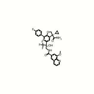 COc1cc(C(=O)NC[C@](O)(c2cc3c(c(-c4ccc(F)cc4)n2)OC[C@]3(C(N)=O)C2CC2)C(F)(F)F)cc2cccnc12